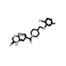 CC1OCC(=O)N/C1=C/C(=C\N)C(=O)N1CCC(COc2cc(F)ccc2Cl)CC1